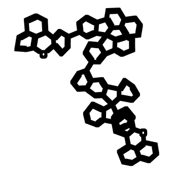 c1ccc(C2(c3ccccc3-c3ccc4c(c3)-c3cccc5cccc(c35)O4)c3ccccc3-c3cc4c(-c5ccc6c(c5)-c5ccccc5C65c6cc(-c7ccc8c(c7)-c7cccc9cccc(c79)O8)ccc6-c6ccc7ccccc7c65)cccc4cc32)cc1